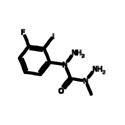 CN(N)C(=O)N(N)c1cccc(F)c1I